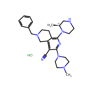 C[C@H]1CNCCN1c1nc(N2CCN(C)CC2)c(C#N)c2c1CCN(Cc1ccccc1)C2.Cl